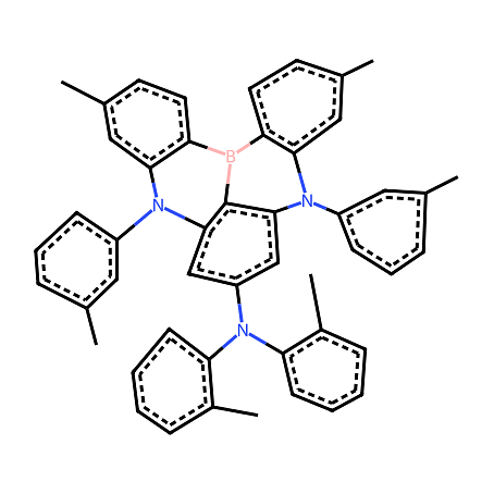 Cc1cccc(N2c3cc(C)ccc3B3c4ccc(C)cc4N(c4cccc(C)c4)c4cc(N(c5ccccc5C)c5ccccc5C)cc2c43)c1